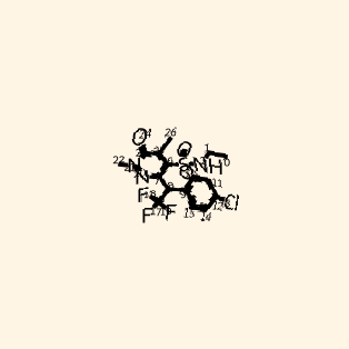 CCNS(=O)(=O)c1c(C(c2ccc(Cl)cc2)C(F)(F)F)nn(C)c(=O)c1C